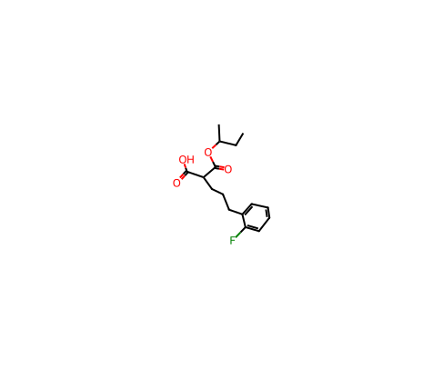 CCC(C)OC(=O)C(CCCc1ccccc1F)C(=O)O